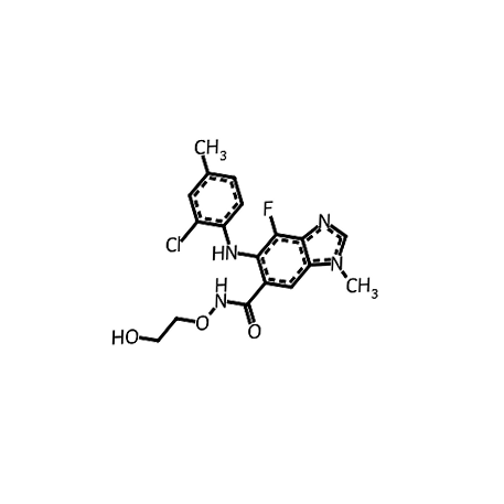 Cc1ccc(Nc2c(C(=O)NOCCO)cc3c(ncn3C)c2F)c(Cl)c1